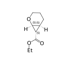 CCOC(=O)[C@H]1[C@@H]2CCCO[C@@H]21